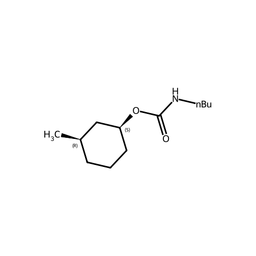 CCCCNC(=O)O[C@H]1CCC[C@@H](C)C1